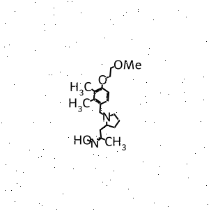 COCCOc1ccc(CN2CCCC2C/C(C)=N\O)c(C)c1C